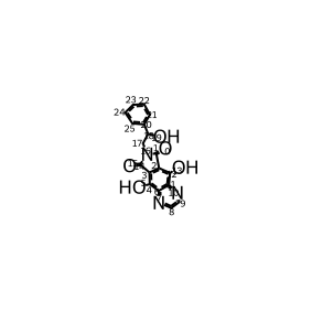 O=C1c2c(c(O)c3nccnc3c2O)C(=O)N1CC(O)c1ccccc1